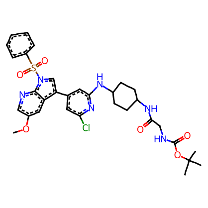 COc1cnc2c(c1)c(-c1cc(Cl)nc(NC3CCC(NC(=O)CNC(=O)OC(C)(C)C)CC3)c1)cn2S(=O)(=O)c1ccccc1